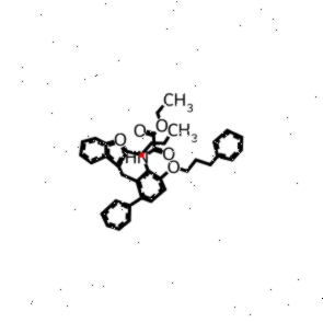 CCCCc1oc2ccccc2c1Cc1c(-c2ccccc2)ccc(OCCCc2ccccc2)c1NC(=O)C(=O)OCC